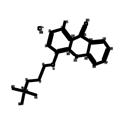 Cc1ccc(OCCC[N+](C)(C)C)c2sc3ccccc3c(=O)c12.[Cl-]